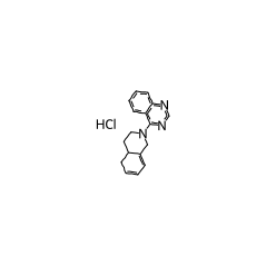 C1=CCC2CCN(c3ncnc4ccccc34)CC2=C1.Cl